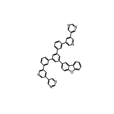 c1cc(-c2cncc(-c3cncnc3)c2)cc(-c2cc(-c3cccc(-c4cncc(-c5cncnc5)c4)c3)cc(-c3ccc4oc5ccccc5c4c3)c2)c1